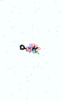 CC(C)[C@](NC(=O)OCc1ccccc1)(C(=O)O)C(Br)C=O